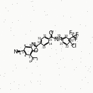 CC(C)c1cc(C#N)cc2nc(-c3ccc(C(=O)NCc4ccc(Cl)c(C(F)(F)F)c4)cc3)oc12